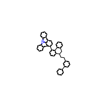 c1ccc(-c2cccc(CCC3Cc4ccccc4-c4c(-c5ccc6c7ccccc7n7c8ccccc8c5c67)cccc43)c2)cc1